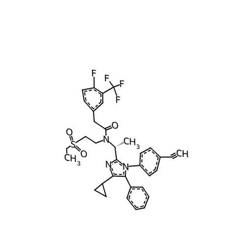 C#Cc1ccc(-n2c([C@@H](C)N(CCS(=O)(=O)CC)C(=O)Cc3ccc(F)c(C(F)(F)F)c3)nc(C3CC3)c2-c2ccccc2)cc1